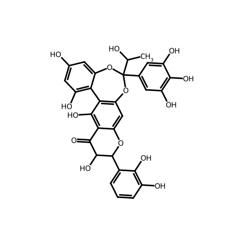 CC(O)C1(c2cc(O)c(O)c(O)c2)Oc2cc(O)cc(O)c2-c2c(cc3c(c2O)C(=O)C(O)C(c2cccc(O)c2O)O3)O1